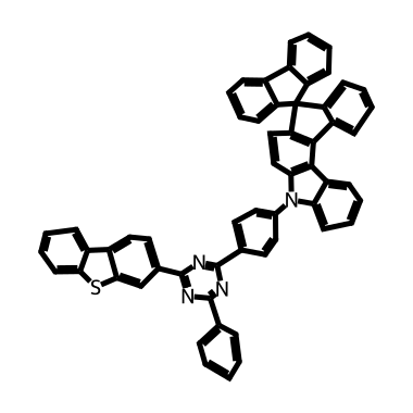 c1ccc(-c2nc(-c3ccc(-n4c5ccccc5c5c6c(ccc54)C4(c5ccccc5-c5ccccc54)c4ccccc4-6)cc3)nc(-c3ccc4c(c3)sc3ccccc34)n2)cc1